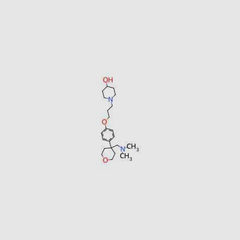 CN(C)CC1(c2ccc(OCCCN3CCC(O)CC3)cc2)CCOCC1